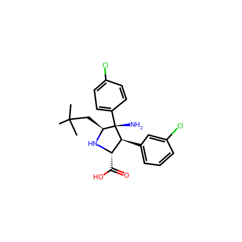 CC(C)(C)C[C@@H]1N[C@@H](C(=O)O)[C@H](c2cccc(Cl)c2)[C@@]1(N)c1ccc(Cl)cc1